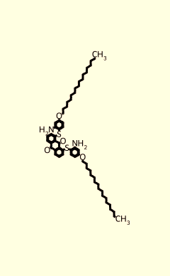 CCCCCCCCCCCCCCCCCCOc1ccc(Sc2cccc3c2C(=O)c2c(Sc4ccc(OCCCCCCCCCCCCCCCCCC)cc4N)cccc2C3=O)c(N)c1